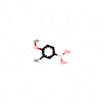 CCCOc1ccc(B(O)O)cc1C#N